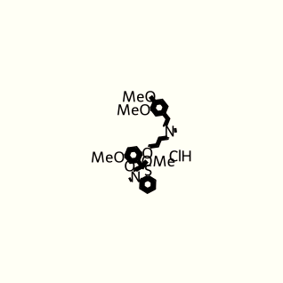 COc1ccc(OCCCCN(C)CCc2ccc(OC)c(OC)c2)c(C2(OC)Sc3ccccc3N(C)C2=O)c1.Cl